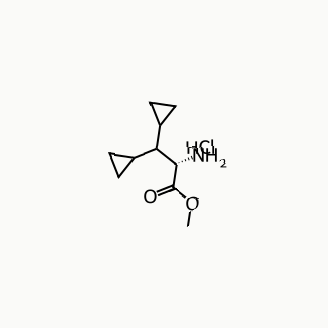 COC(=O)[C@@H](N)C(C1CC1)C1CC1.Cl